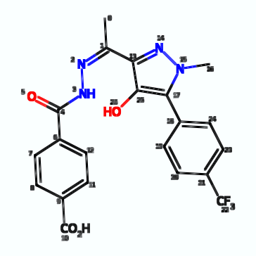 CC(=NNC(=O)c1ccc(C(=O)O)cc1)c1nn(C)c(-c2ccc(C(F)(F)F)cc2)c1O